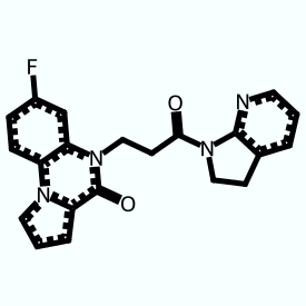 O=C(CCn1c(=O)c2cccn2c2ccc(F)cc21)N1CCc2cccnc21